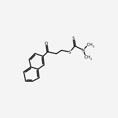 CN(C)C(=S)SCCC(=O)c1ccc2ccccc2c1